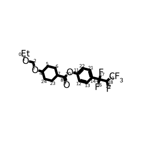 CCOCOC1CCC(C(=O)Oc2ccc(C(F)(F)C(F)C(F)(F)F)cc2)CC1